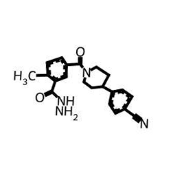 Cc1ccc(C(=O)N2CCC(c3ccc(C#N)cc3)CC2)cc1C(=O)NN